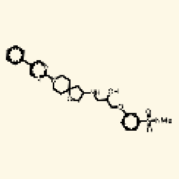 CNS(=O)(=O)c1cccc(OCC(O)CNC2COC3(CCN(c4ncc(-c5ccccc5)cn4)CC3)C2)c1